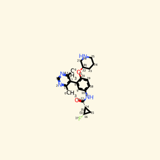 Cc1ncnc(C)c1-c1cc(NC(=O)[C@@H]2C[C@@H]2F)ccc1O[C@@H]1CCCNC1